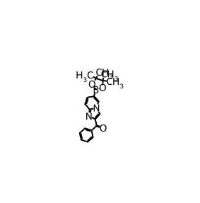 CC1(C)OB(c2ccc3nc(C(=O)c4ccccc4)cn3c2)OC1(C)C